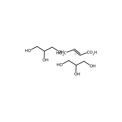 O=C(O)/C=C/C(=O)O.OCC(O)CO.OCC(O)CO